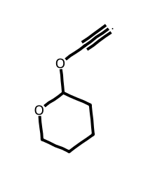 [C]#COC1CCCCO1